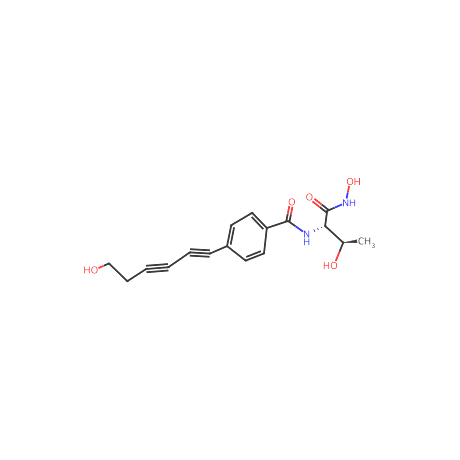 C[C@@H](O)[C@H](NC(=O)c1ccc(C#CC#CCCO)cc1)C(=O)NO